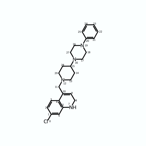 Clc1ccc2c(c1)NCC=C2CN1CCC(N2CCN(c3ccccc3)CC2)CC1